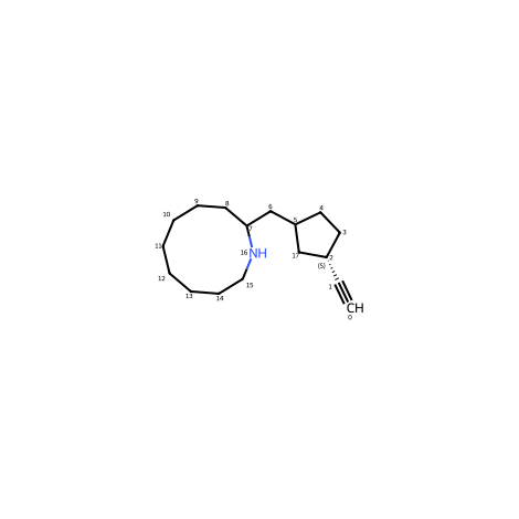 C#C[C@H]1CCC(CC2CCCCCCCCN2)C1